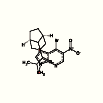 CC(C)C(=O)N1C[C@H]2CC[C@@H](C1)C2c1cn(C)c2ncc([N+](=O)[O-])c(Br)c12